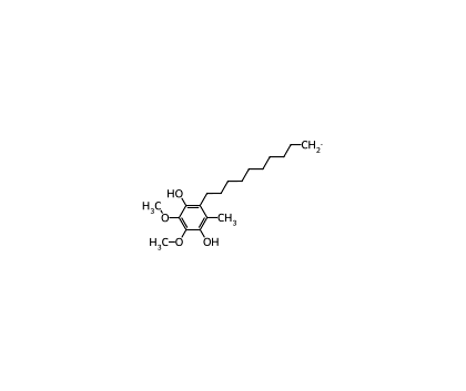 [CH2]CCCCCCCCCc1c(C)c(O)c(OC)c(OC)c1O